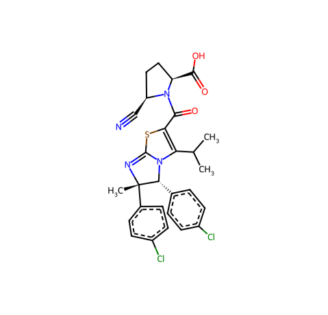 CC(C)C1=C(C(=O)N2[C@@H](C#N)CC[C@H]2C(=O)O)SC2=N[C@@](C)(c3ccc(Cl)cc3)[C@@H](c3ccc(Cl)cc3)N21